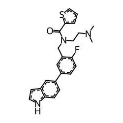 CN(C)CCN(Cc1cc(-c2ccc3[nH]ccc3c2)ccc1F)C(=O)c1cccs1